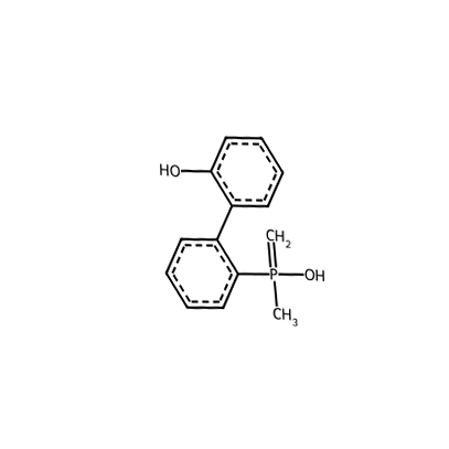 C=P(C)(O)c1ccccc1-c1ccccc1O